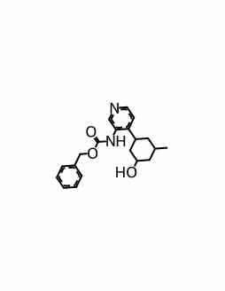 CC1CC(O)CC(c2ccncc2NC(=O)OCc2ccccc2)C1